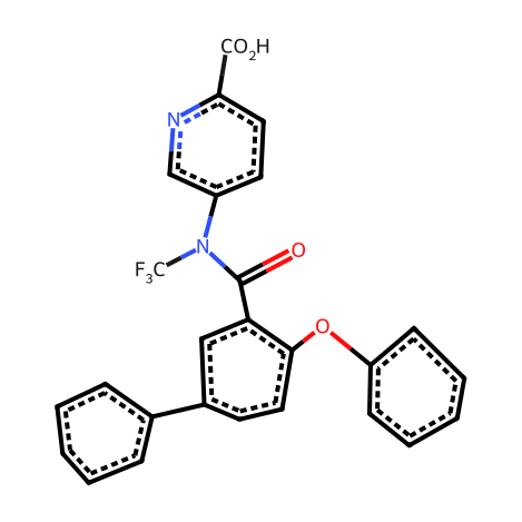 O=C(O)c1ccc(N(C(=O)c2cc(-c3ccccc3)ccc2Oc2ccccc2)C(F)(F)F)cn1